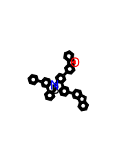 c1ccc(-c2ccc3c(c2)-c2ccccc2B2c4ccc(-c5ccc6c(c5)-c5ccccc5C6)cc4-c4cc(-c5ccc6oc7ccccc7c6c5)ccc4N23)cc1